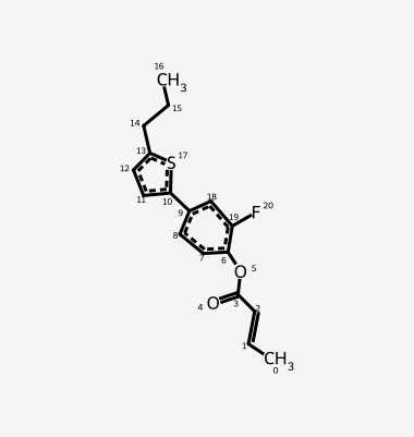 CC=CC(=O)Oc1ccc(-c2ccc(CCC)s2)cc1F